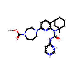 CC(C)(C)OC(=O)N1CCCN(c2ccc3c(n2)N(C(=O)Nc2ccncn2)[C@H]2CCCC3C2)CC1